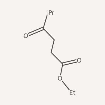 CCOC(=O)CCC(=O)C(C)C